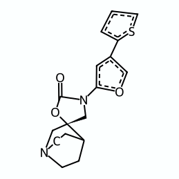 O=C1O[C@]2(CN3CCC2CC3)CN1c1cc(-c2cccs2)co1